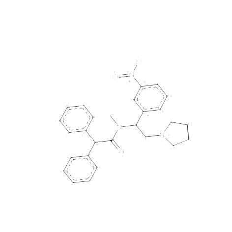 CN(C(=O)C(c1ccccc1)c1ccccc1)C(CN1CCCC1)c1cccc([N+](=O)[O-])c1